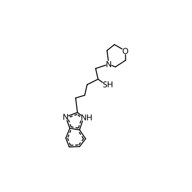 SC(CCCc1nc2ccccc2[nH]1)CN1CCOCC1